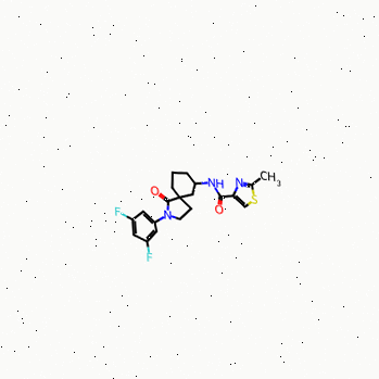 Cc1nc(C(=O)NC2CCCC3(CCN(c4cc(F)cc(F)c4)C3=O)C2)cs1